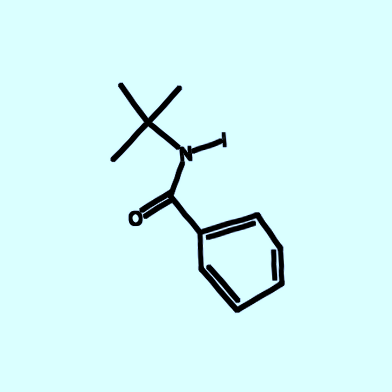 CC(C)(C)N(I)C(=O)c1ccccc1